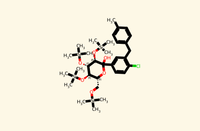 Cc1ccc(Cc2cc(C3(O)O[C@H](CO[Si](C)(C)C)[C@@H](O[Si](C)(C)C)[C@H](O[Si](C)(C)C)[C@H]3O[Si](C)(C)C)ccc2Cl)cc1